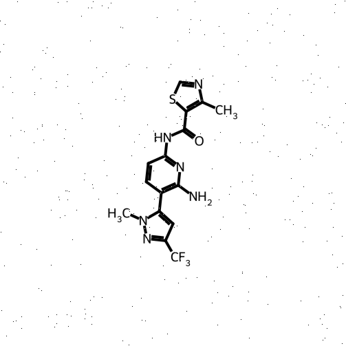 Cc1ncsc1C(=O)Nc1ccc(-c2cc(C(F)(F)F)nn2C)c(N)n1